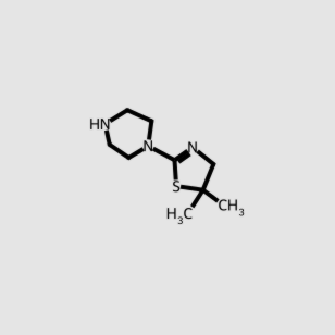 CC1(C)CN=C(N2CCNCC2)S1